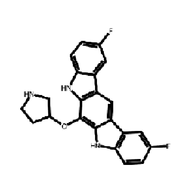 Fc1ccc2[nH]c3c(OC4CCNC4)c4[nH]c5ccc(F)cc5c4cc3c2c1